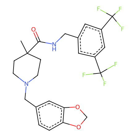 CC1(C(=O)NCc2cc(C(F)(F)F)cc(C(F)(F)F)c2)CCN(Cc2ccc3c(c2)OCO3)CC1